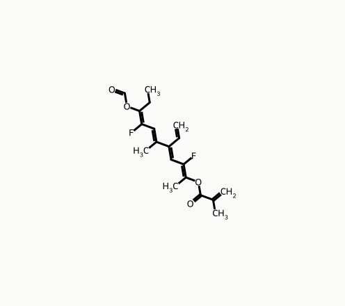 C=CC(=C\C(F)=C(/C)OC(=O)C(=C)C)/C(C)=C/C(F)=C(\CC)OC=O